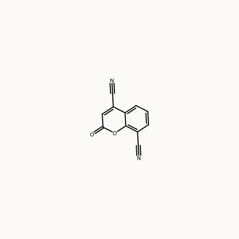 N#Cc1cc(=O)oc2c(C#N)cccc12